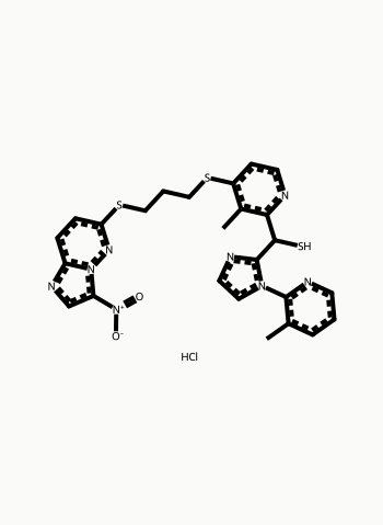 Cc1cccnc1-n1ccnc1C(S)c1nccc(SCCCSc2ccc3ncc([N+](=O)[O-])n3n2)c1C.Cl